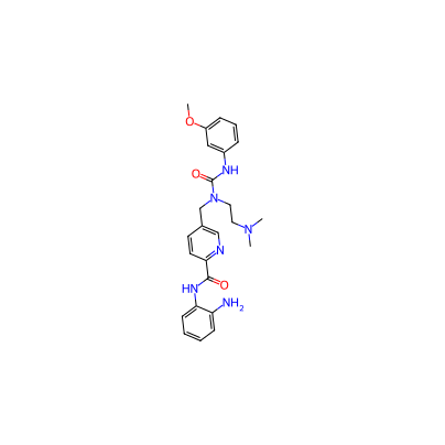 COc1cccc(NC(=O)N(CCN(C)C)Cc2ccc(C(=O)Nc3ccccc3N)nc2)c1